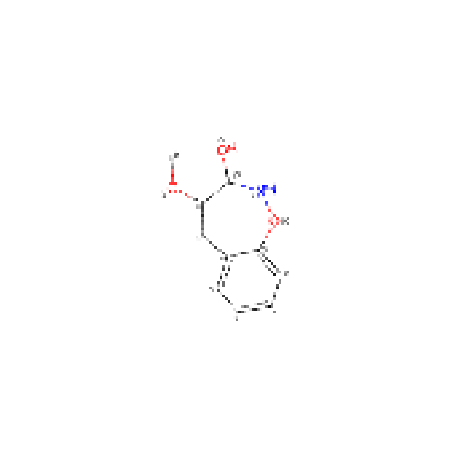 COC1Cc2ccccc2ONC1O